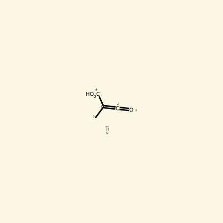 CC(=C=O)C(=O)O.[Ti]